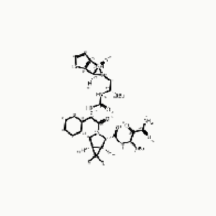 CCCCC(NC(=O)[C@@H]1[C@@H]2[C@H](CN1C(=O)[C@@H](NC(=O)N[C@H](CN1[C@H]3c4sccc4[SH]31=O)C(C)(C)C)C1CCCCC1)C2(C)C)C(=O)C(N)=O